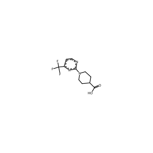 O=C(O)C1CCN(c2nccc(C(F)(F)F)n2)CC1